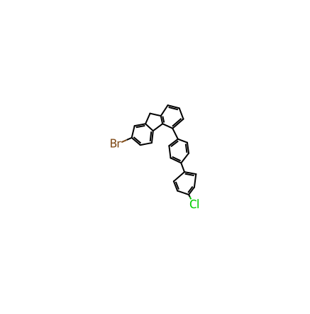 Clc1ccc(-c2ccc(-c3cccc4c3-c3ccc(Br)cc3C4)cc2)cc1